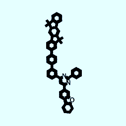 CC1(C)C2=CC3c4ccccc4C(C)(C)C3C=C2c2ccc(-c3ccc(-c4cccc(-c5cc(-c6ccc7c8c(oc7c6)CCC=C8)nc(-c6ccccc6)n5)c4)cc3)cc21